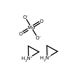 C1C[NH2+]1.C1C[NH2+]1.[O]=[Mo](=[O])([O-])[O-]